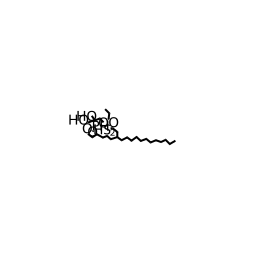 CCCCCCCCCCCCC(CCCCCC)CC(S)OC(CC)OCC(O)([PH2]=O)C(=O)O